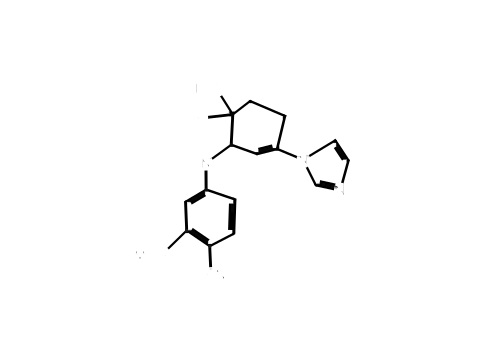 COc1cc(NC2C=C(n3ccnc3)CCC2(C)C)ccc1C#N